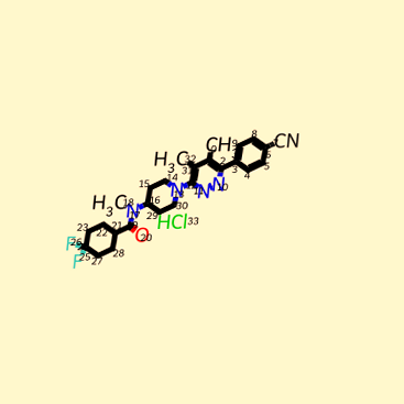 Cc1c(-c2ccc(C#N)cc2)nnc(N2CCC(N(C)C(=O)C3CCC(F)(F)CC3)CC2)c1C.Cl